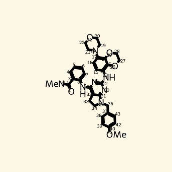 CNC(=O)c1ccccc1Nc1nc(Nc2ccc(N3CCOCC3)c3c2OCCO3)nc2c1CCN2Cc1ccc(OC)cc1